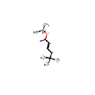 C[SiH](C)OC(I)C=CCC(C)(C)C